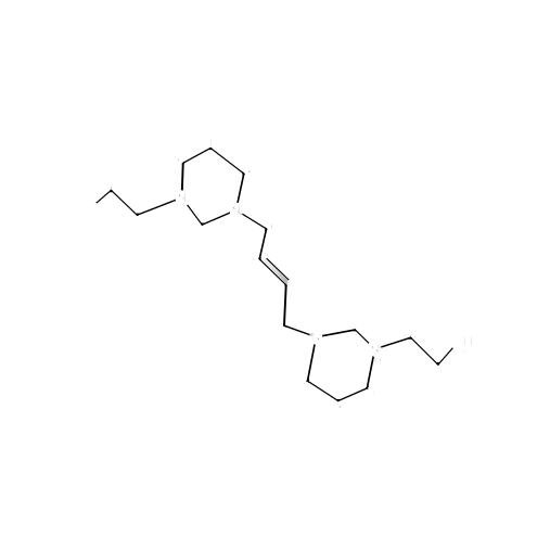 CCCN1CCCN(CC=CCN2CCCN(CCC)C2)C1